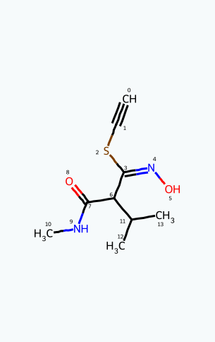 C#CSC(=NO)C(C(=O)NC)C(C)C